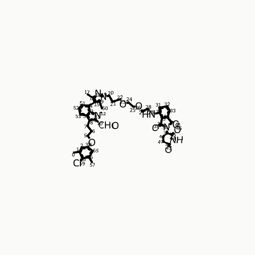 Cc1cc(OCCCc2c(C=O)n(C)c3c(-c4c(C)nn(CCCOCCOCCNc5cccc6c5C(=O)N(C5CCC(=O)NC5=O)C6=O)c4C)cccc23)cc(C)c1Cl